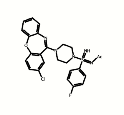 CC(=O)N=S(=N)(c1ccc(F)cc1)N1CCN(C2=Nc3ccccc3Oc3ccc(Cl)cc32)CC1